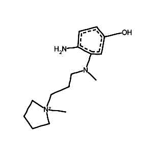 CN(CCC[N+]1(C)CCCC1)c1cc(O)ccc1N